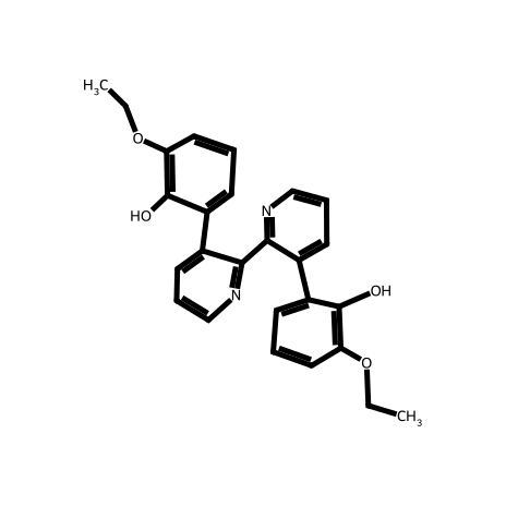 CCOc1cccc(-c2cccnc2-c2ncccc2-c2cccc(OCC)c2O)c1O